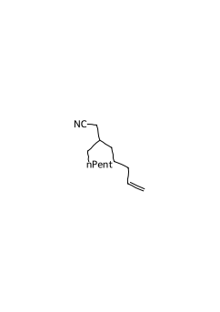 C=CCCCC(CC#N)CCCCCC